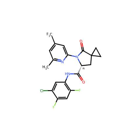 Cc1cc(C(F)(F)F)cc(N2C(=O)C3(CC3)C[C@@H]2C(=O)Nc2cc(Cl)c(F)cc2F)n1